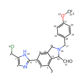 Cc1cc(-c2ncc(CCl)[nH]2)cc2c1C(C=O)N(Cc1ccc(OC(F)(F)F)cc1)C2